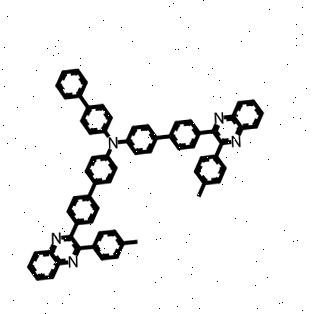 Cc1ccc(-c2nc3ccccc3nc2-c2ccc(-c3ccc(N(c4ccc(-c5ccccc5)cc4)c4ccc(-c5ccc(-c6nc7ccccc7nc6-c6ccc(C)cc6)cc5)cc4)cc3)cc2)cc1